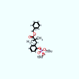 CC(C)(C)OP(=O)(Oc1ccccc1CC(C)(C)C(=O)OCc1ccccc1)OC(C)(C)C